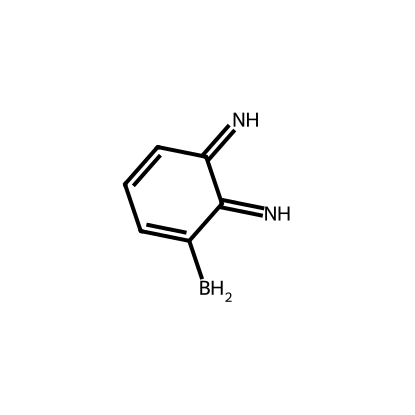 BC1=CC=CC(=N)C1=N